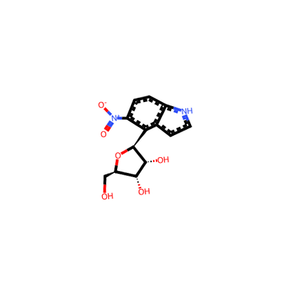 O=[N+]([O-])c1ccc2[nH]ccc2c1[C@@H]1O[C@H](CO)[C@@H](O)[C@H]1O